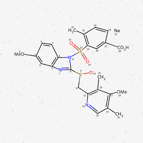 COc1ccc2c(c1)nc([S+]([O-])Cc1ncc(C)c(OC)c1C)n2S(=O)(=O)c1cc(C(=O)O)ccc1C.[Na]